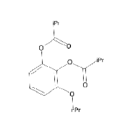 CCCOc1cccc(OC(=O)C(C)C)c1OC(=O)C(C)C